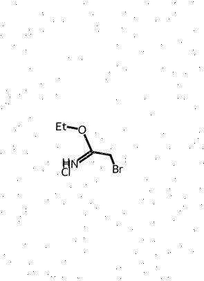 CCOC(=N)CBr.Cl